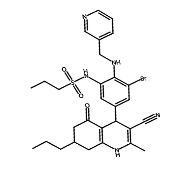 CCCC1CC(=O)C2=C(C1)NC(C)=C(C#N)C2c1cc(Br)c(NCc2cccnc2)c(NS(=O)(=O)CCC)c1